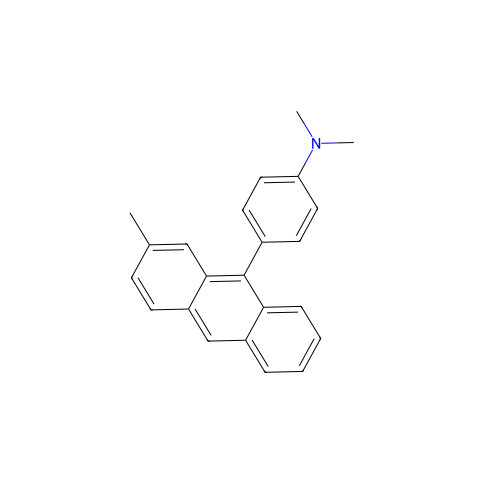 Cc1ccc2cc3ccccc3c(-c3ccc(N(C)C)cc3)c2c1